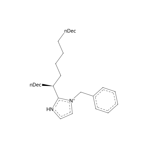 CCCCCCCCCCCCCC[C@H](CCCCCCCCCC)c1[nH]cc[n+]1Cc1ccccc1